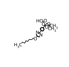 CCCCCCCCOc1cnc(-c2ccc([C@@]3(OC(=O)O)COC(C)(C)O3)cc2)nc1